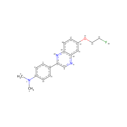 CN(C)c1ccc(-c2cnc3cc(OCCF)ccc3n2)cc1